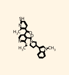 CSc1nccc(C(=O)c2ccc(S)nc2C)c1C(=O)N1CCC(c2cn(C)c3ccccc23)C1